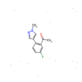 CC(=O)c1cc(F)ccc1-c1cnn(C)c1